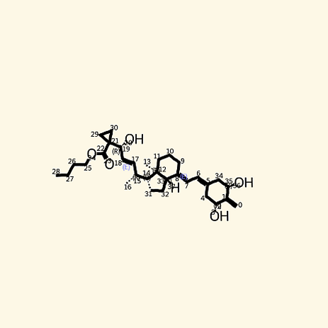 C=C1[C@H](O)CC(=C/C=C2\CCC[C@]3(C)[C@@H]([C@H](C)/C=C/[C@@H](O)C4(C(=O)OCCCC)CC4)CC[C@@H]23)C[C@H]1O